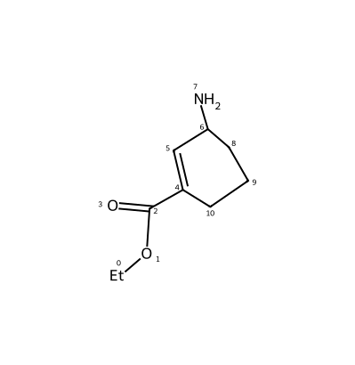 CCOC(=O)C1=CC(N)CCC1